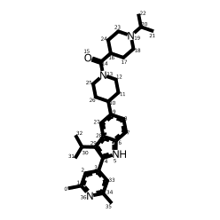 Cc1cc(-c2[nH]c3ccc(C4CCN(C(=O)C5CCN(C(C)C)CC5)CC4)cc3c2C(C)C)cc(C)n1